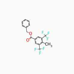 Cc1c(C(F)(F)F)cc(C(=O)OCc2ccccc2)cc1C(F)(F)F